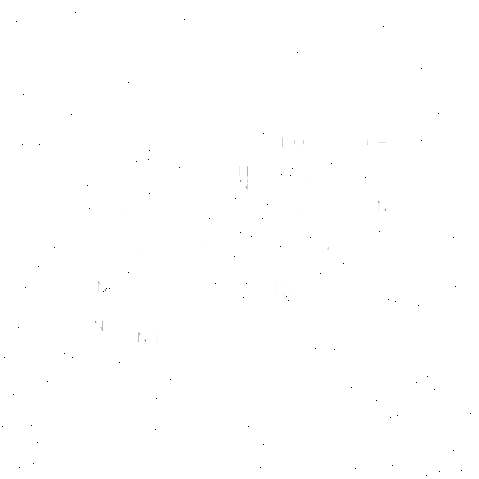 Cc1ncc(CO)c(CNc2cccc(-c3c[nH]nn3)c2)c1O